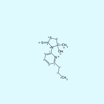 CCCc1cccc(N2C(=S)SCC2(C)O)n1